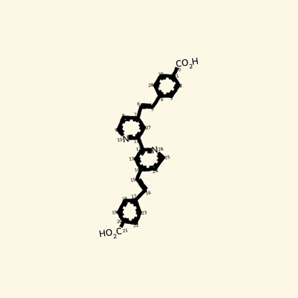 O=C(O)c1ccc(/C=C/c2ccnc(-c3cc(/C=C/c4ccc(C(=O)O)cc4)ccn3)c2)cc1